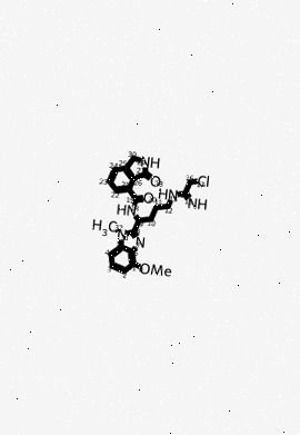 COc1cccc2c1nc(C(CCCNC(=N)CCl)NC(=O)c1cccc3c1C(=O)NC3)n2C